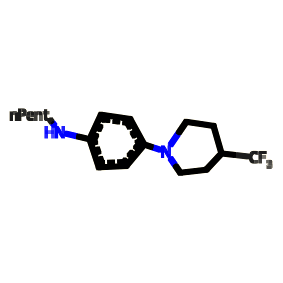 CCCCCNc1ccc(N2CCC(C(F)(F)F)CC2)cc1